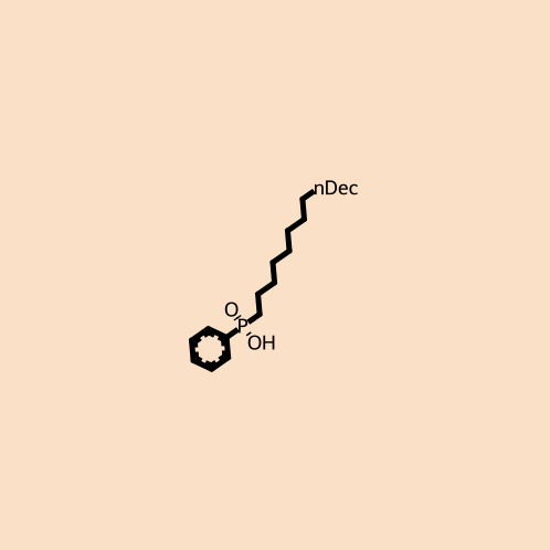 CCCCCCCCCCCCCCCCCCP(=O)(O)c1ccccc1